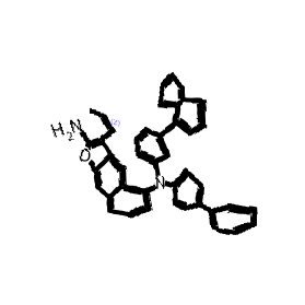 C/C=C\c1c(N)oc2cc3cccc(N(c4ccc(-c5ccccc5)cc4)c4cccc(-c5cccc6ccccc56)c4)c3cc12